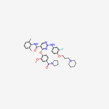 COc1cc(C(=O)N2CCCC2)ccc1Oc1nc(Nc2ccc(OCCCN3CCCCC3)c(F)c2)ncc1C(=O)Nc1c(C)cccc1C